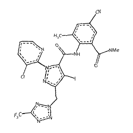 CNC(=O)c1cc(C#N)cc(C)c1NC(=O)c1c(I)c(Cn2nnc(C(F)(F)F)n2)nn1-c1ncccc1Cl